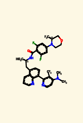 CN(C)c1ccnc(-c2ccc(C[C@H](NC(=O)c3c(F)cc(N4CCOC[C@@H]4C(F)(F)F)cc3F)C(=O)O)c3cccnc23)c1C(F)(F)F